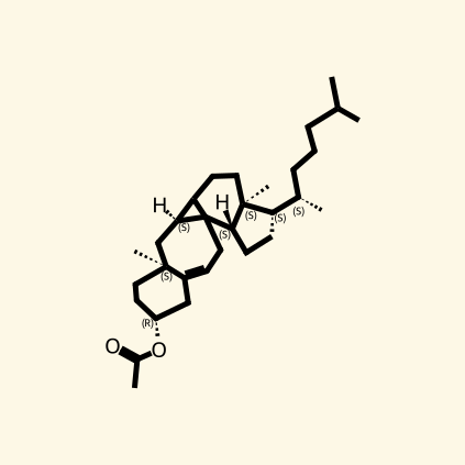 CC(=O)O[C@@H]1CC[C@@]2(C)C[C@H]3C4CC[C@]5(C)[C@H](CC[C@H]5[C@@H](C)CCCC(C)C)C43CC=C2C1